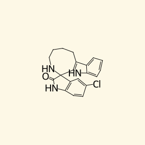 O=C1Nc2ccc(Cl)cc2C12NCCCCc1c2[nH]c2ccccc12